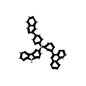 c1cc(-c2cc3ccccc3c3ccccc23)cc(N(c2ccc(-c3ccc4ccccc4c3)cc2)c2ccc3sc4ccccc4c3c2)c1